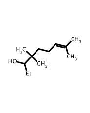 CCC(O)C(C)(C)CCC=C(C)C